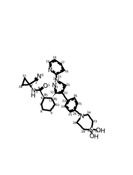 N#CC1(NC(=O)[C@@H]2CCCC[C@H]2c2nn(-c3ccccn3)cc2-c2ccc(N3CCS(O)(O)CC3)cc2)CC1